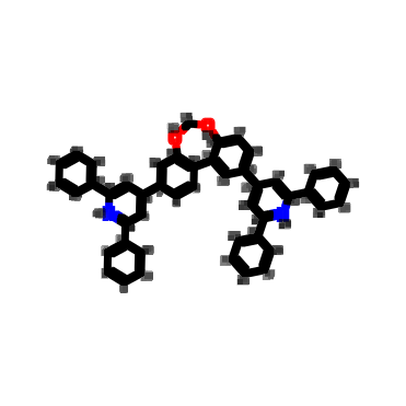 c1ccc(-c2cc(-c3ccc4c(c3)OCOc3ccc(-c5cc(-c6ccccc6)nc(-c6ccccc6)c5)cc3-4)cc(-c3ccccc3)n2)cc1